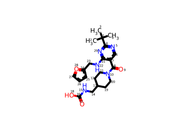 CC(C)(C)c1ncc(C(=O)N2CCC(CNC(=O)O)CC2)c(NCc2ccco2)n1